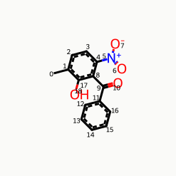 Cc1ccc([N+](=O)[O-])c(C(=O)c2ccccc2)c1O